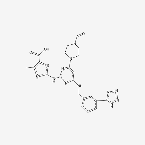 Cc1nc(Nc2nc(NCc3cccc(-c4nnn[nH]4)c3)cc(N3CCN(C=O)CC3)n2)sc1C(=O)O